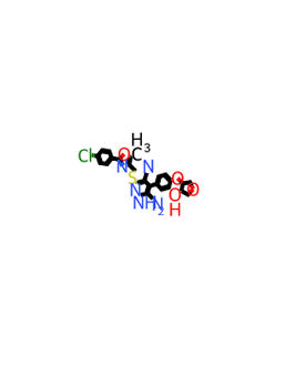 Cc1oc(-c2ccc(Cl)cc2)nc1CSc1nc(N)c(C#N)c(-c2ccc(OC3COCC3O)cc2)c1C#N